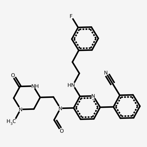 CN1CC(=O)NC(CN(C=O)c2ccc(-c3ccccc3C#N)nc2NCCc2cccc(F)c2)C1